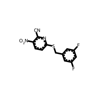 N#Cc1nc(SCc2cc(F)cc(F)c2)ccc1[N+](=O)[O-]